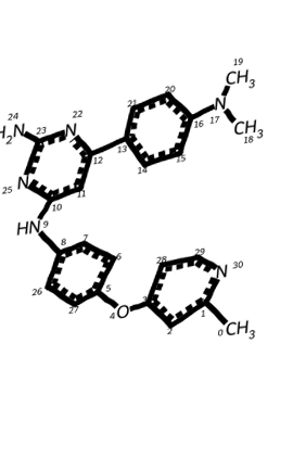 Cc1cc(Oc2ccc(Nc3cc(-c4ccc(N(C)C)cc4)nc(N)n3)cc2)ccn1